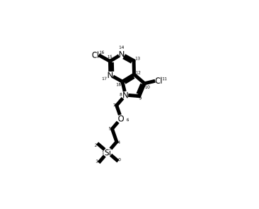 C[Si](C)(C)CCOCn1cc(Cl)c2cnc(Cl)nc21